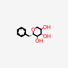 O[C@@H]1[C@@H](O)[C@H](Cc2ccccc2)OC[C@H]1O